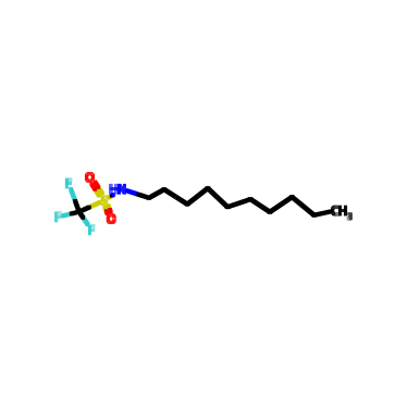 CCCCCCCCCCNS(=O)(=O)C(F)(F)F